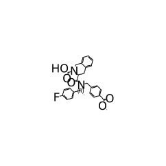 COC(=O)c1ccc(CN(C(=O)C2Cc3ccccc3CN2C(=O)O)[C@H](C)c2ccc(F)cc2)cc1